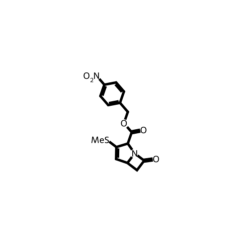 CSC1=CC2CC(=O)N2C1C(=O)OCc1ccc([N+](=O)[O-])cc1